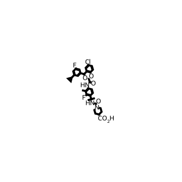 Cc1c(NC(=O)COc2ccc(Cl)cc2C(=O)c2cc(F)cc(C3CC3)c2)ccc(C(C)(C)NC(=O)N2CCC(C(=O)O)CC2)c1F